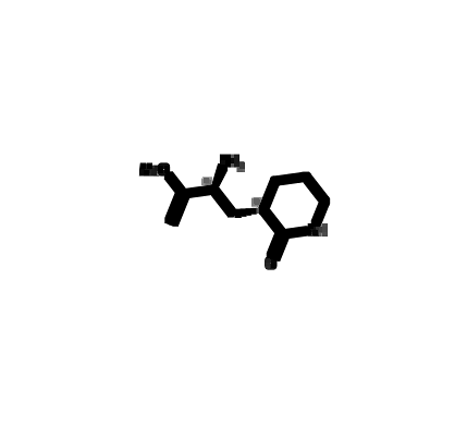 C=C(OC)[C@@H](N)C[C@@H]1CCCNC1=O